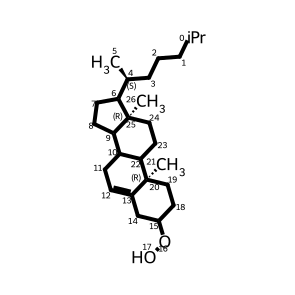 CC(C)CCC[C@H](C)C1CCC2C3CC=C4CC(OO)CC[C@]4(C)C3CC[C@@]21C